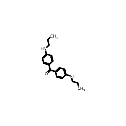 CCCNc1ccc(C(=O)c2ccc(NCCC)cc2)cc1